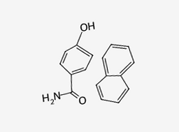 NC(=O)c1ccc(O)cc1.c1ccc2ccccc2c1